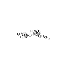 CCOc1cccc(C(O)(C(=O)N(C)CCCC2CCN(c3ccc(C(=O)N(C)C)c(Cl)n3)CC2)C(F)(F)F)c1